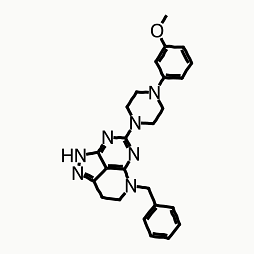 COc1cccc(N2CCN(c3nc4c5c(n[nH]c5n3)CCN4Cc3ccccc3)CC2)c1